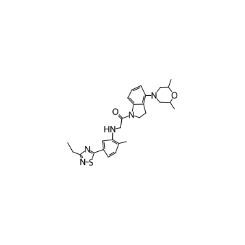 CCc1nsc(-c2ccc(C)c(NCC(=O)N3CCc4c(N5CC(C)OC(C)C5)cccc43)c2)n1